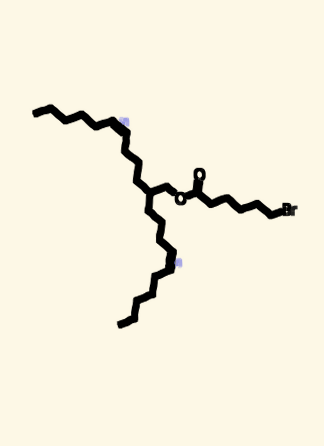 CCCCC/C=C\CCCC(CCC/C=C\CCCCC)COC(=O)CCCCCBr